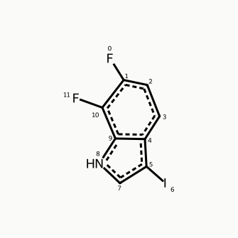 Fc1ccc2c(I)c[nH]c2c1F